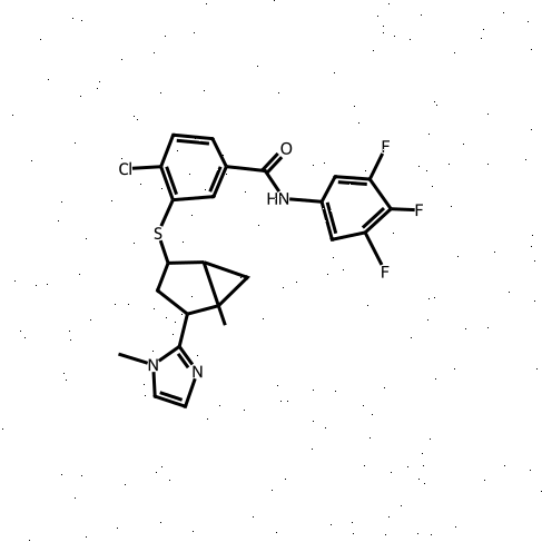 Cn1ccnc1C1CC(Sc2cc(C(=O)Nc3cc(F)c(F)c(F)c3)ccc2Cl)C2CC12C